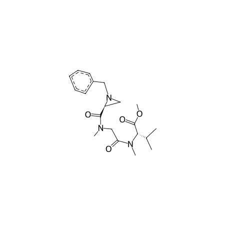 COC(=O)[C@H](C(C)C)N(C)C(=O)CN(C)C(=O)[C@@H]1CN1Cc1ccccc1